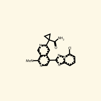 CNc1ncc(-c2nc3cccc(Cl)n3n2)c2cc(C3(C(N)=O)CC3)ncc12